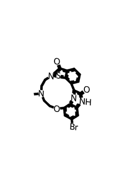 CN1CCOc2cc(Br)cc3[nH]c(=O)c(nc23)-c2cccc3c(=O)n(sc23)CC1